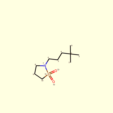 CC(C)(C)CCCN1CCCS1(=O)=O